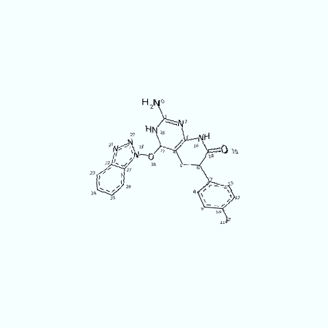 NC1=NC2=C(CC(c3ccc(F)cc3)C(=O)N2)C(On2nnc3ccccc32)N1